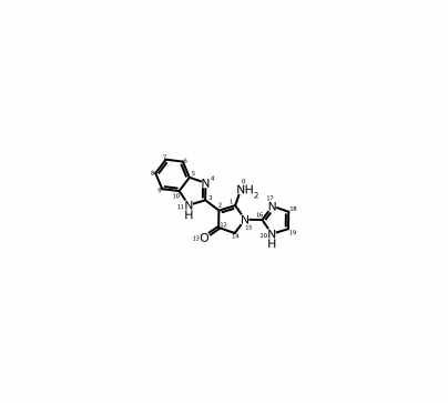 NC1=C(c2nc3ccccc3[nH]2)C(=O)CN1c1ncc[nH]1